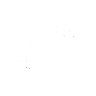 CCC(C)(C)OC(=O)CCC(C)(C)OCCC(C)(C)N